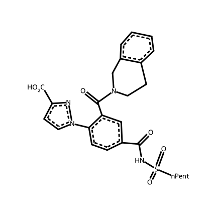 CCCCCS(=O)(=O)NC(=O)c1ccc(-n2ccc(C(=O)O)n2)c(C(=O)N2CCc3ccccc3C2)c1